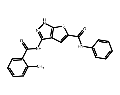 Cc1ccccc1C(=O)Nc1n[nH]c2sc(C(=O)Nc3ccccc3)cc12